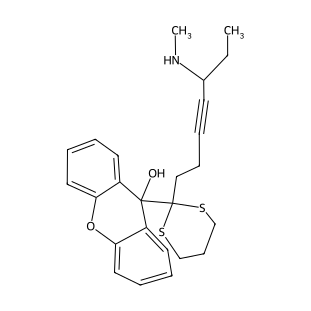 CCC(C#CCCC1(C2(O)c3ccccc3Oc3ccccc32)SCCCS1)NC